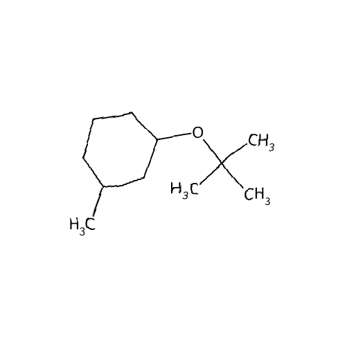 CC1CCCC(OC(C)(C)C)C1